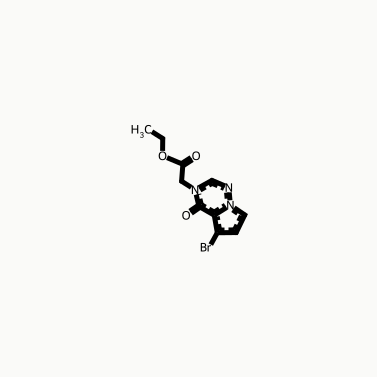 CCOC(=O)Cn1cnn2ccc(Br)c2c1=O